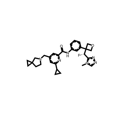 Cn1cnnc1[C@H](F)C1(c2cccc(NC(=O)c3cc(CN4CCC5(CC5)C4)cc(C4CC4)n3)c2)COC1